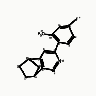 Fc1ccc(-c2cc3c(nn2)C2CCC3C2)c(C(F)(F)F)c1